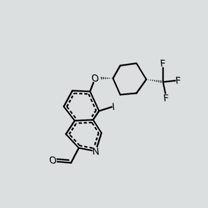 O=Cc1cc2ccc(O[C@H]3CC[C@@H](C(F)(F)F)CC3)c(I)c2cn1